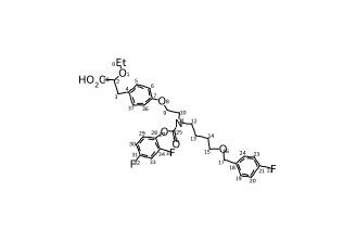 CCOC(Cc1ccc(OCCN(CCCCOCc2ccc(F)cc2)C(=O)Oc2ccc(F)cc2F)cc1)C(=O)O